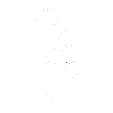 Cc1cncc(-c2ccc3c(c2)[C@@]2(COC(N)=N2)c2cc(OCC(C)(C)C)ccc2O3)c1